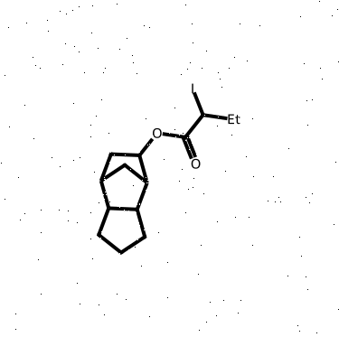 CCC(I)C(=O)OC1CC2CC1C1CCCC21